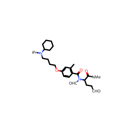 CNC(=O)C(CCC=O)N(C=O)C(=O)c1ccc(OCCCCN(C(C)C)C2CCCCC2)cc1C